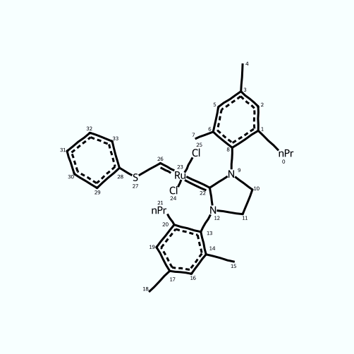 CCCc1cc(C)cc(C)c1N1CCN(c2c(C)cc(C)cc2CCC)[C]1=[Ru]([Cl])([Cl])=[CH]Sc1ccccc1